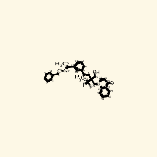 C/C(=N\OCc1ccccc1)c1cccc(C(C)CC(CO)(Cn2ccc(=O)c3ccccc32)C(F)(F)F)c1